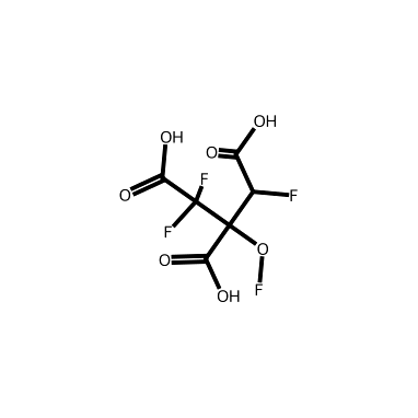 O=C(O)C(F)C(OF)(C(=O)O)C(F)(F)C(=O)O